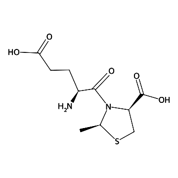 C[C@@H]1SC[C@H](C(=O)O)N1C(=O)[C@@H](N)CCC(=O)O